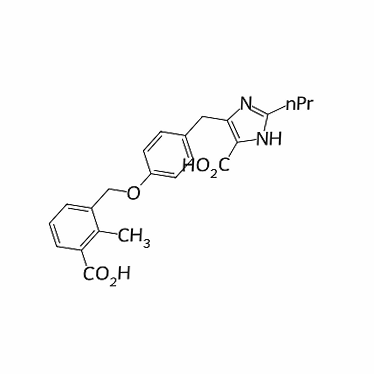 CCCc1nc(Cc2ccc(OCc3cccc(C(=O)O)c3C)cc2)c(C(=O)O)[nH]1